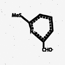 CSc1cccc([C]=O)n1